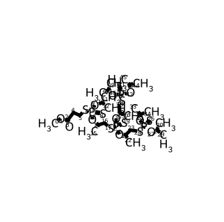 COC(=O)CCSP(=S)(OC(C)C)OC(C)CSP(=S)(OC(C)CSP(=S)(OC(C)C)OC(C)C)OC(C)CSP(=S)(OC(C)C)OC(C)C